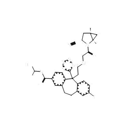 CC(C)NC(=O)c1ccc2c(c1)CCc1cc(F)ccc1C2(CCNCC(=O)N1[C@H](C#N)C[C@@H]2C[C@@H]21)c1nnn[nH]1